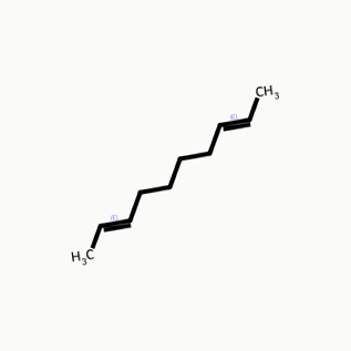 C/C=C/CCCC/C=C/C